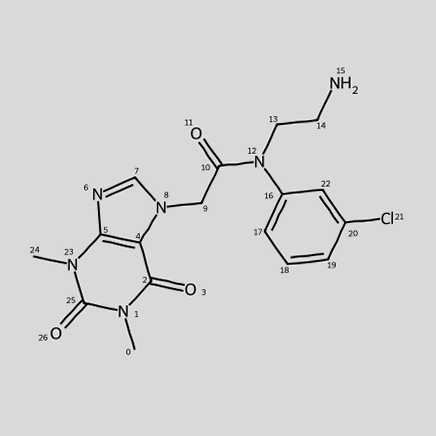 Cn1c(=O)c2c(ncn2CC(=O)N(CCN)c2cccc(Cl)c2)n(C)c1=O